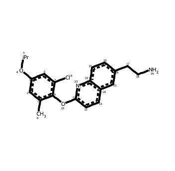 Cc1cc(OC(C)C)cc(Cl)c1Oc1ccc2cc(CCN)ccc2n1